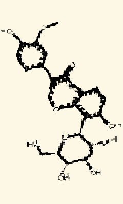 COc1cc(-c2coc3c([C@@H]4O[C@H](CO)[C@@H](O)[C@H](O)[C@H]4O)c(O)ccc3c2=O)ccc1O